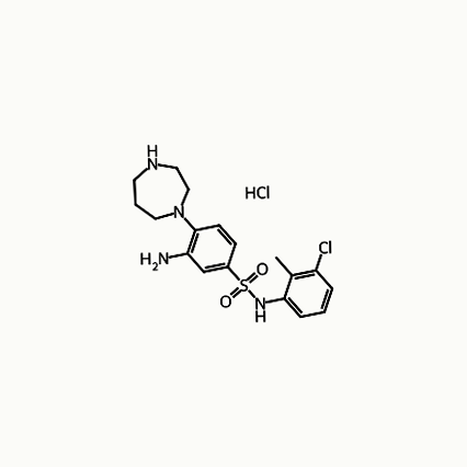 Cc1c(Cl)cccc1NS(=O)(=O)c1ccc(N2CCCNCC2)c(N)c1.Cl